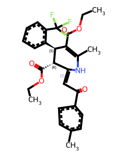 CCOC(=O)C1=C(C)N/C(=C\C(=O)c2ccc(C)cc2)[C@H](C(=O)OCC)[C@H]1c1ccccc1C(F)(F)F